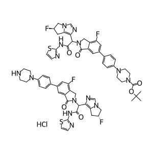 CC(C)(C)OC(=O)N1CCN(c2ccc(-c3cc(F)c4c(c3)C(=O)N(C(C(=O)Nc3nccs3)c3ncn5c3C[C@@H](F)C5)C4)cc2)CC1.Cl.O=C(Nc1nccs1)C(c1ncn2c1C[C@@H](F)C2)N1Cc2c(F)cc(-c3ccc(N4CCNCC4)cc3)cc2C1=O